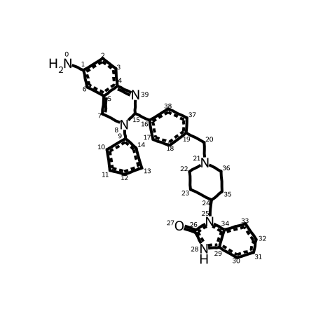 Nc1ccc2c(c1)=CN(c1ccccc1)C(c1ccc(CN3CCC(n4c(=O)[nH]c5ccccc54)CC3)cc1)N=2